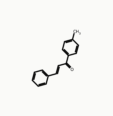 Cc1ccc(C(=O)C=Cc2ccccc2)cc1